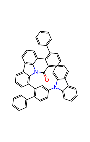 O=c1c2cccc(-c3ccccc3)c2c2cccc3c4cccc(-c5cc(-n6c7ccccc7c7ccccc76)ccc5-c5ccccc5)c4n1c32